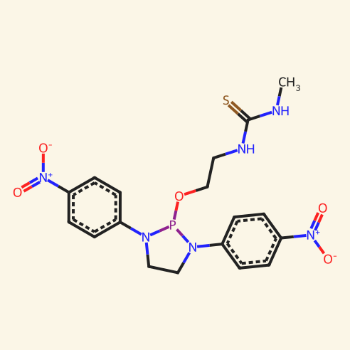 CNC(=S)NCCOP1N(c2ccc([N+](=O)[O-])cc2)CCN1c1ccc([N+](=O)[O-])cc1